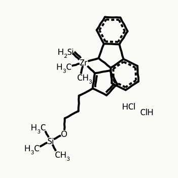 C[Si](C)(C)OCCCC1=[C]([Zr]([CH3])([CH3])(=[SiH2])[CH]2c3ccccc3-c3ccccc32)CC=C1.Cl.Cl